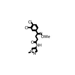 CON=C(CCC(=O)Nc1cnn(C)c1)c1ccc(Cl)c(Cl)c1